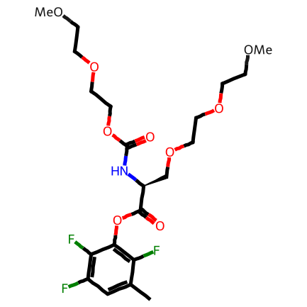 COCCOCCOC[C@H](NC(=O)OCCOCCOC)C(=O)Oc1c(F)c(C)cc(F)c1F